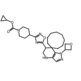 O=C(OC1CC1)N1CCC(c2noc(C3CNc4cnn(C5COC5)c4C34CCCCCCCC4)n2)CC1